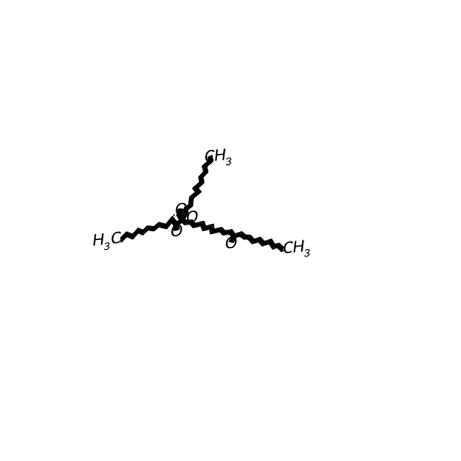 CCCCCCCCCCCC(=O)CCCCCCCCCCC([C]=O)(C(=O)CCCCCCCCCCC)C(=O)CCCCCCCCCCC